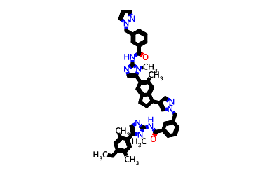 CCc1cc(C)c(-c2cnc(NC(=O)c3cccc(Cn4cc(C5CCc6cc(-c7cnc(NC(=O)c8cccc(Cn9cccn9)c8)n7C)c(C)cc65)cn4)c3)n2C)cc1C